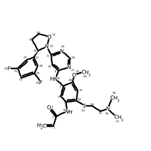 C=CC(=O)Nc1cc(Nc2cc(N3OCC[C@@H]3c3cc(F)cc(F)c3)ncn2)c(OC)cc1SCCN(C)C